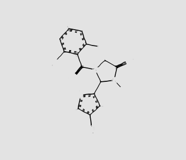 O=C1CN(C(=O)c2c(F)cccc2F)C(c2cc(Cl)cs2)N1O